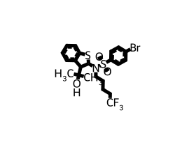 CC(C)(O)C1c2ccccc2SC1N(CCCCC(F)(F)F)S(=O)(=O)c1ccc(Br)cc1